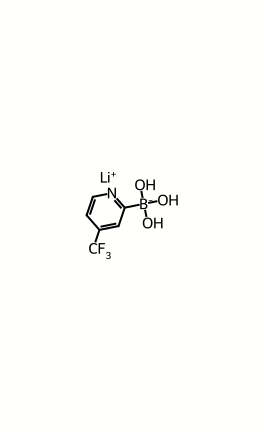 O[B-](O)(O)c1cc(C(F)(F)F)ccn1.[Li+]